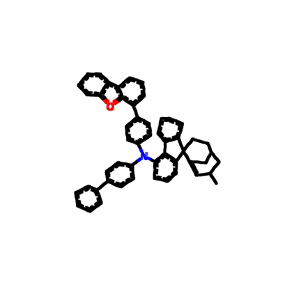 CC1C=C2CC(CCC23c2ccccc2-c2c(N(c4ccc(-c5ccccc5)cc4)c4ccc(-c5cccc6c5oc5ccccc56)cc4)cccc23)C1